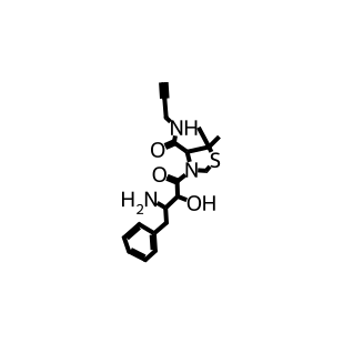 C#CCNC(=O)C1N(C(=O)C(O)C(N)Cc2ccccc2)CSC1(C)C